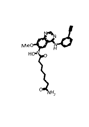 C#Cc1cccc(Nc2ncnc3cc(OC)c(N(O)C(=O)CCCCCCC(N)=O)cc23)c1